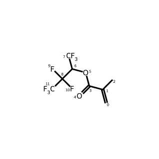 C=C(C)C(=O)OC(C(F)(F)F)C(F)(F)C(F)(F)F